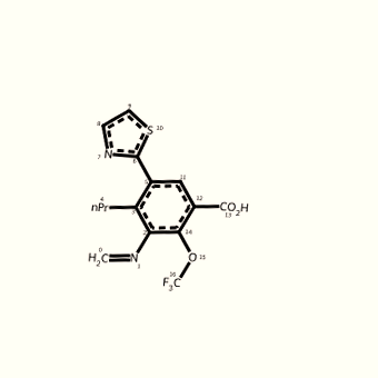 C=Nc1c(CCC)c(-c2nccs2)cc(C(=O)O)c1OC(F)(F)F